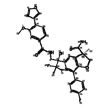 COc1cc(C(=O)NCC(O)(c2cc3c(c(-c4ccc(F)cc4)n2)OC[C@]3(C)C(N)=O)C(F)(F)F)ccc1-c1cocn1